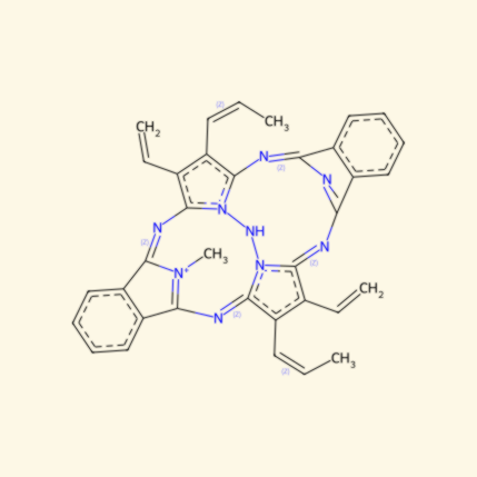 C=Cc1c(/C=C\C)c2n3c1/N=C1/c4ccccc4C(=[N+]1C)/N=c1/c(/C=C\C)c(C=C)/c(n1N3)=N/C1=NC(=N\2)/c2ccccc21